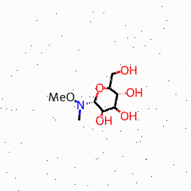 CON(C)[C@@H]1OC(CO)[C@H](O)C(O)[C@H]1O